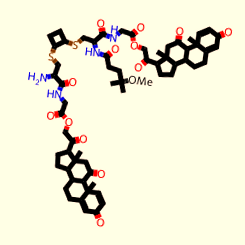 COC(C)(C)CCC(=O)NC(CSC1CCC1SCC(N)C(=O)NCC(=O)OCC(=O)C1CCC2C3CCC4=CC(=O)C=CC4(C)C3C(=O)CC12C)C(=O)NCC(=O)OCC(=O)C1CCC2C3CCC4=CC(=O)C=CC4(C)C3C(=O)CC12C